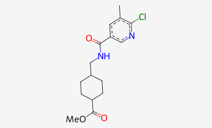 COC(=O)C1CCC(CNC(=O)c2cnc(Cl)c(C)c2)CC1